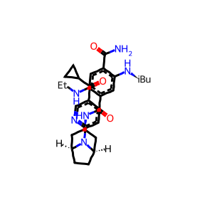 CCNc1cc(C(N)=O)c(N[C@H](C)CC)cc1C(=O)N[C@H]1C[C@H]2CC[C@@H](C1)N2c1ccc(C(=O)C2CC2)cn1